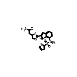 CCN(c1cccc2cc(C3=NCC(CC(N)=O)S3)[nH]c12)S(=O)(=O)c1cccs1